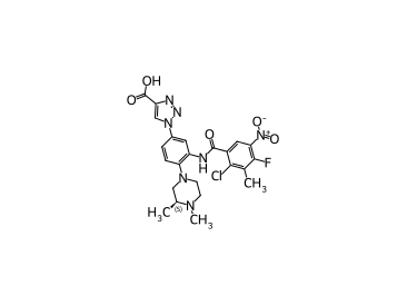 Cc1c(F)c([N+](=O)[O-])cc(C(=O)Nc2cc(-n3cc(C(=O)O)nn3)ccc2N2CCN(C)[C@@H](C)C2)c1Cl